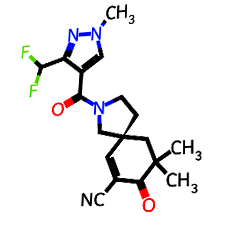 Cn1cc(C(=O)N2CC[C@@]3(C=C(C#N)C(=O)C(C)(C)C3)C2)c(C(F)F)n1